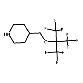 FC(F)(F)C(OCC1CCNCC1)(C(F)(F)F)C(F)(F)F